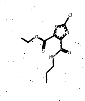 CCCNC(=O)c1nc(Cl)sc1C(=O)OCC